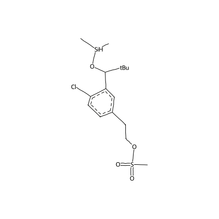 C[SiH](C)OC(c1cc(CCOS(C)(=O)=O)ccc1Cl)C(C)(C)C